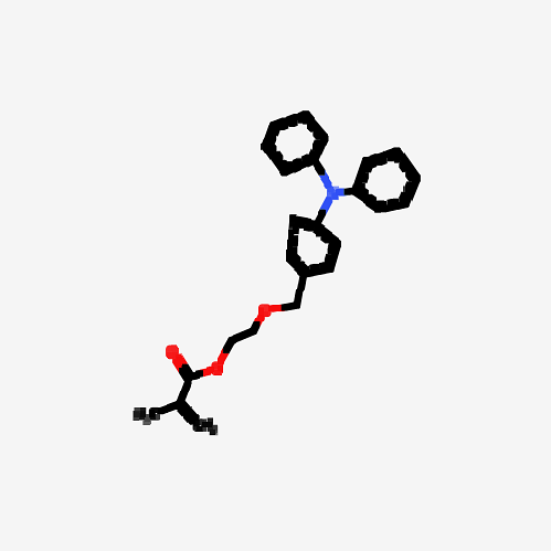 C=C(C)C(=O)OCCOCc1ccc(N(c2ccccc2)c2ccccc2)cc1